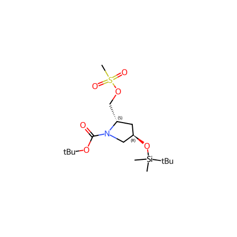 CC(C)(C)OC(=O)N1C[C@H](O[Si](C)(C)C(C)(C)C)C[C@H]1COS(C)(=O)=O